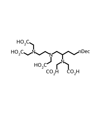 CCCCCCCCCCCCC(CN(CCN(CC(=O)O)CC(=O)O)CC(=O)O)N(CC(=O)O)CC(=O)O